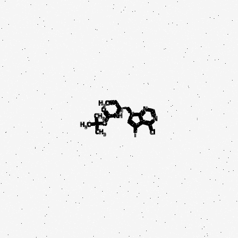 C=C[C@H](Cn1cc(I)c2c(Cl)ncnc21)NC(=O)OC(C)(C)C